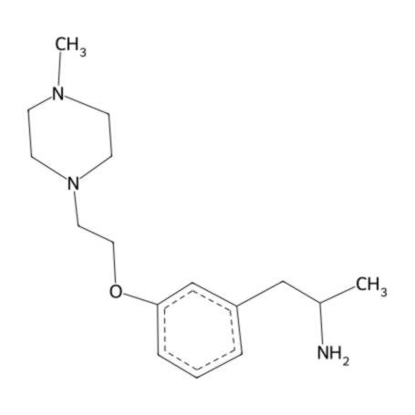 CC(N)Cc1cccc(OCCN2CCN(C)CC2)c1